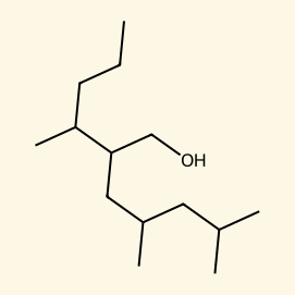 CCCC(C)C(CO)CC(C)CC(C)C